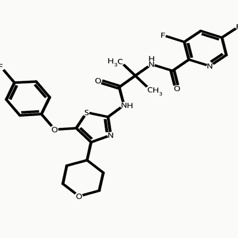 CC(C)(NC(=O)c1ncc(F)cc1F)C(=O)Nc1nc(C2CCOCC2)c(Oc2ccc(F)cc2)s1